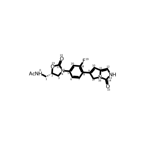 CC(=O)NC[C@H]1CN(c2ccc(C3=Cc4c[nH]c(=O)n4C3)c(F)c2)C(=O)O1